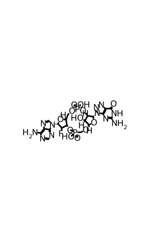 Nc1nc2c(nnn2[C@@H]2O[C@@H]3OCP(=O)(O)OC4C(F)[C@H](n5cnc6c(N)ncnc65)O[C@@H]4COP(=O)(O)O[C@H]2[C@H]3O)c(=O)[nH]1